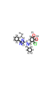 CCCCn1c(CN(Cc2ccccc2)Cc2ccc(OC)c(OC)c2Cl)cnc1-c1ccccc1